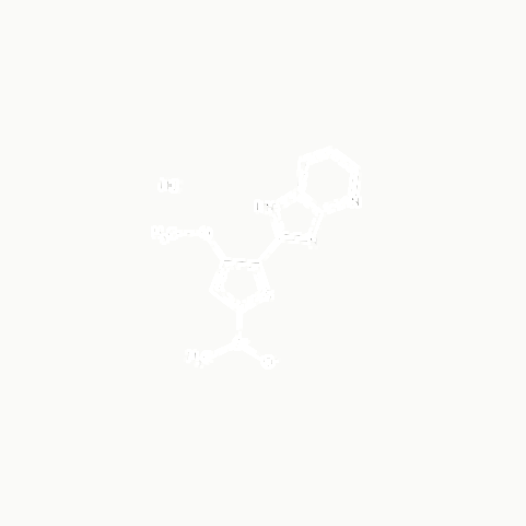 COc1cc([S+](C)[O-])sc1-c1nc2ncccc2[nH]1.Cl